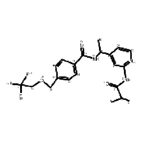 CC(C)C(=O)Nc1cc(C(C)NC(=O)c2ccc(COCC(F)(F)F)cc2)ccn1